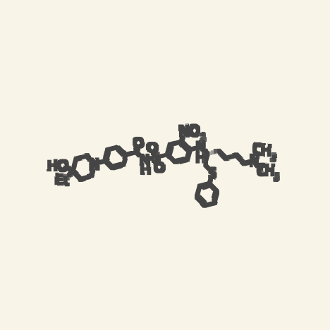 CCC1(O)CCN(c2ccc(C(=O)NS(=O)(=O)c3ccc(N[C@H](CCCCN(C)C)CSc4ccccc4)c([N+](=O)[O-])c3)cc2)CC1